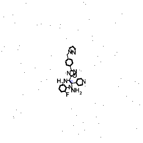 N/C(=C(/c1ccncc1)N(N)c1ccccc1F)c1nc(-c2ccc(Cn3cccn3)cc2)no1